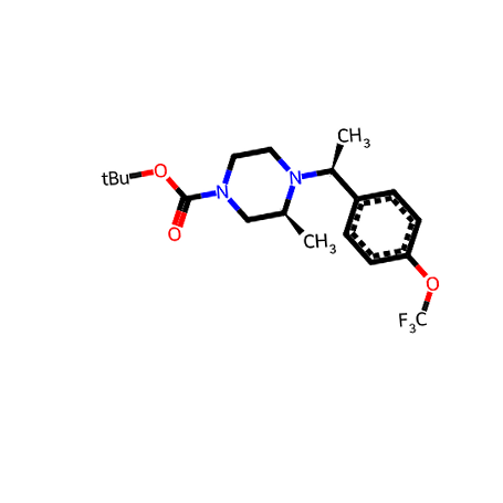 C[C@H]1CN(C(=O)OC(C)(C)C)CCN1[C@@H](C)c1ccc(OC(F)(F)F)cc1